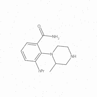 CCCc1cccc(C(N)=O)c1N1CCNCC1C